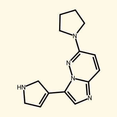 C1=C(c2cnc3ccc(N4CCCC4)nn23)CNC1